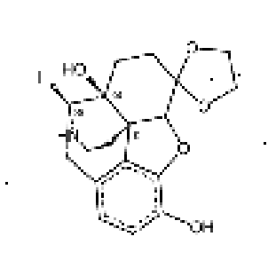 Oc1ccc2c3c1OC1C4(CC[C@@]5(O)[C@@H](C2)NCC[C@]315)OCCO4